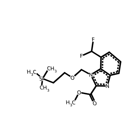 COC(=O)c1nc2cccc(C(F)F)c2n1COCC[Si](C)(C)C